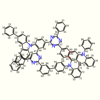 c1ccc(-c2ccc3c(c2)c2cc(-c4ccccc4)ccc2n3-c2ccc(-c3nc(-c4ccccc4)nc(-c4ccccc4)n3)cc2-c2cc(-c3ccccc3)nc(-c3cccc(-c4ccc(N5c6ccccc6B6c7ccccc7N(c7ccccc7)c7cccc5c76)cc4)c3)n2)cc1